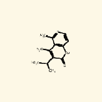 Cc1nccc2[nH]c(=O)c(C(C)C(=O)O)c(C)c12